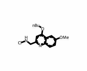 CCCCOc1cc(CNCl)nc2ccc(OC)cc12